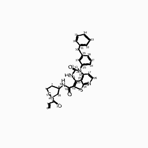 C=CC(=O)N1CCCC(NC(=O)c2sc3nccc4c3c2NC(=O)N4c2cccc(Cc3ccccc3)c2)C1